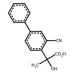 CC(O)(C(=O)O)c1ccc(-c2ccccc2)cc1C#N